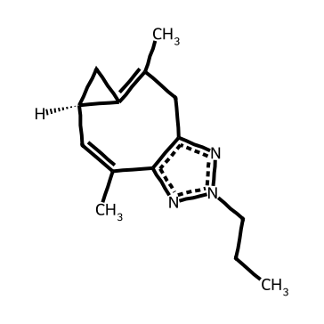 CCCn1nc2c(n1)/C(C)=C\[C@H]1C/C1=C(/C)C2